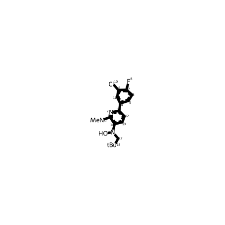 CNc1nc(-c2ccc(F)c(Cl)c2)ccc1N(O)CC(C)(C)C